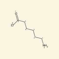 NCCCCCC(=O)Cl